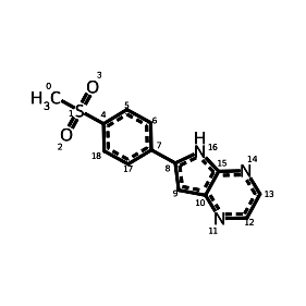 CS(=O)(=O)c1ccc(-c2cc3nccnc3[nH]2)cc1